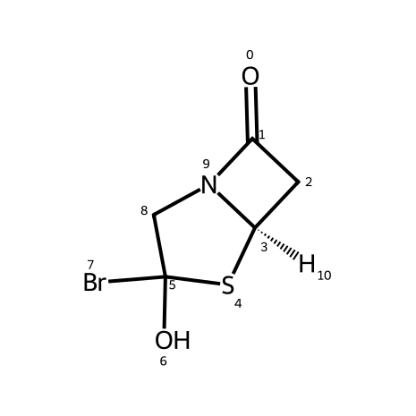 O=C1C[C@H]2SC(O)(Br)CN12